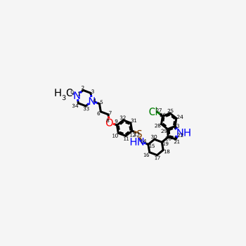 CN1CCN(CCCOc2ccc(SNC3CCCC(c4c[nH]c5ccc(Cl)cc45)C3)cc2)CC1